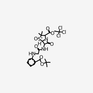 CC(C)(C)OC(=O)c1ccccc1NCC(=O)NC1C(=O)N2C(C(=O)OCC(Cl)(Cl)Cl)C(C)(C)[S+]([O-])[C@H]12